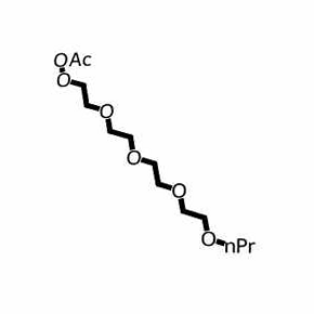 CCCOCCOCCOCCOCCOOC(C)=O